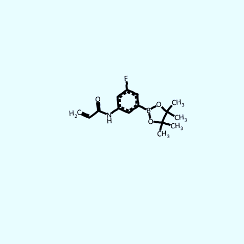 C=CC(=O)Nc1cc(F)cc(B2OC(C)(C)C(C)(C)O2)c1